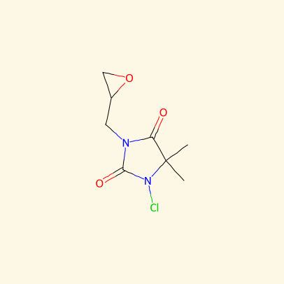 CC1(C)C(=O)N(CC2CO2)C(=O)N1Cl